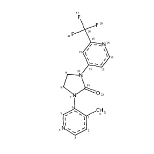 Cc1ccncc1N1CCN(c2ccnc(C(F)(F)F)c2)C1=O